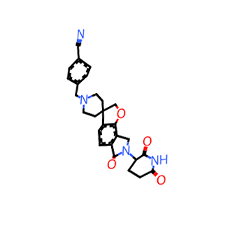 N#Cc1ccc(CN2CCC3(CC2)COc2c3ccc3c2CN(C2CCC(=O)NC2=O)C3=O)cc1